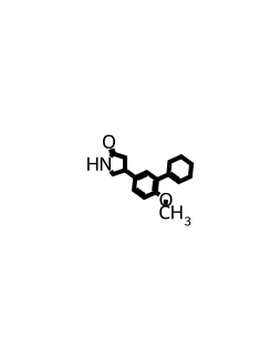 COc1ccc(C2CNC(=O)C2)cc1C1=CCCCC1